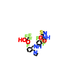 Cc1c(NCc2c(F)cccc2CN2CCC2)cc(F)c(S(=O)(=O)Nc2cscn2)c1F.O=C(O)C(F)(F)F